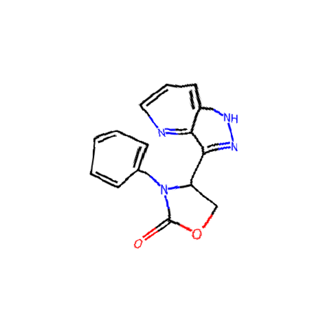 O=C1OCC(c2n[nH]c3cccnc23)N1c1ccccc1